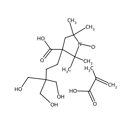 C=C(C)C(=O)O.CC1(C)CC(CCC(CO)(CO)CO)(C(=O)O)C(C)(C)N1[O]